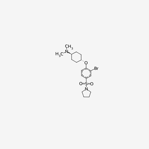 CN(C)[C@H]1CC[C@H](Oc2ccc(S(=O)(=O)N3CCCC3)cc2Br)CC1